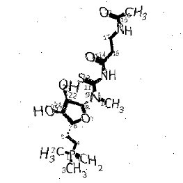 C=P(C)(C)CC[C@H]1O[C@@H](N(C)C(=S)NC(=O)CCNC(C)=O)[C@H](O)[C@@H]1O